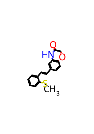 CSc1ccccc1C=Cc1ccc2c(c1)NC(=O)CO2